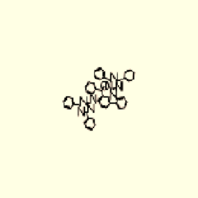 O=c1c2ccccc2n(-c2nc(-c3ccccc3)nc(-c3ccccc3)n2)c2ccc3c4ccccc4n(-c4nc(-c5ccccc5)nc(-c5ccccc5)n4)c3c12